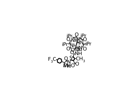 CCC(C(=O)Nc1sc(C(=O)NCCNC(=O)[C@@H](NC(=O)[C@@H](NC(=O)[C@@H](NC(=O)[C@@H](NC(=O)OC(C)(C)C)C(C)C)C(C)C)C(C)C)C(C)C)c(C)c1C(=O)OC)c1ccc(C(F)(F)F)cc1